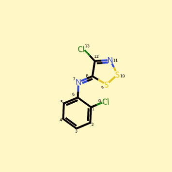 Clc1ccccc1N=c1ssnc1Cl